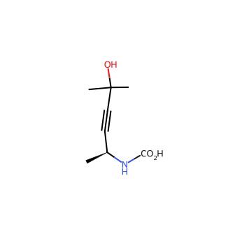 C[C@@H](C#CC(C)(C)O)NC(=O)O